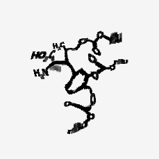 CCCCOC(=O)Oc1ccc(C(C(C)COC(=O)OC(C)CC)[C@H](N)C(=O)O)cc1OC(=O)OCCCC